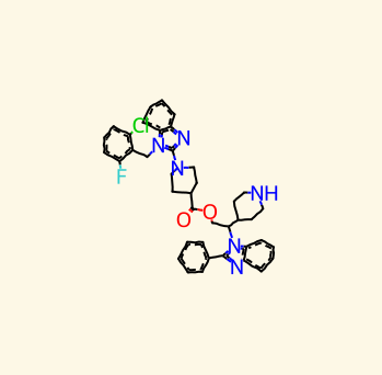 O=C(OCC(C1CCNCC1)n1c(-c2ccccc2)nc2ccccc21)C1CCN(c2nc3ccccc3n2Cc2c(F)cccc2Cl)CC1